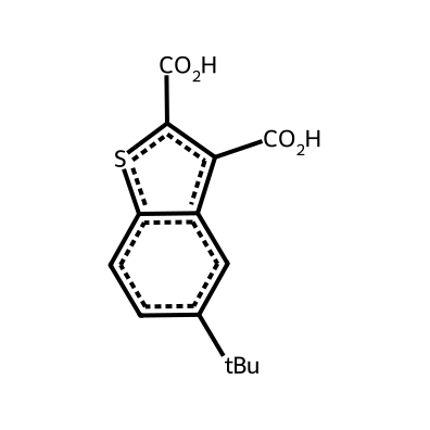 CC(C)(C)c1ccc2sc(C(=O)O)c(C(=O)O)c2c1